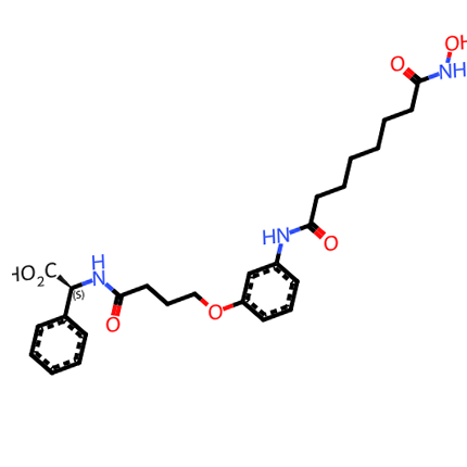 O=C(CCCCCCC(=O)Nc1cccc(OCCCC(=O)N[C@H](C(=O)O)c2ccccc2)c1)NO